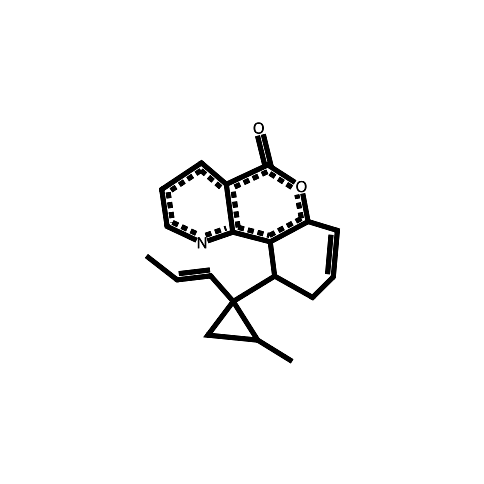 CC=CC1(C2CC=Cc3oc(=O)c4cccnc4c32)CC1C